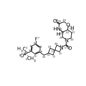 CP(C)(=O)c1cc(F)cc(CC2CC3(C2)CN(C(=O)N2CC[C@@H]4OCC(=O)N[C@@H]4C2)C3)c1